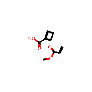 C=CC(=O)OC.O=C(O)C1=CCC1